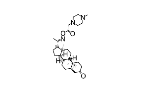 CC(=NOC(=O)CN1CCN(C)CC1)[C@H]1CC[C@H]2[C@@H]3CCC4=CC(=O)CC[C@]4(C)[C@H]3CC[C@]12C